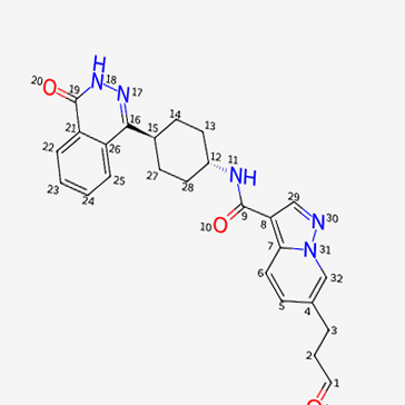 O=CCCc1ccc2c(C(=O)N[C@H]3CC[C@H](c4n[nH]c(=O)c5ccccc54)CC3)cnn2c1